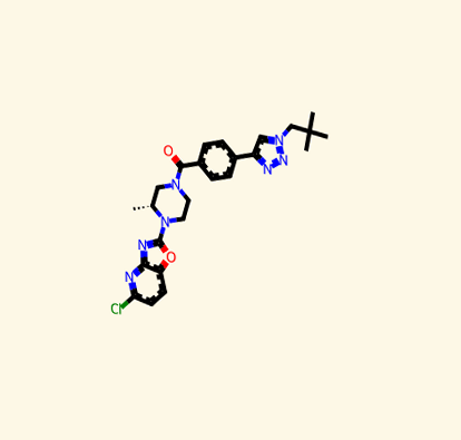 C[C@@H]1CN(C(=O)c2ccc(-c3cn(CC(C)(C)C)nn3)cc2)CCN1c1nc2nc(Cl)ccc2o1